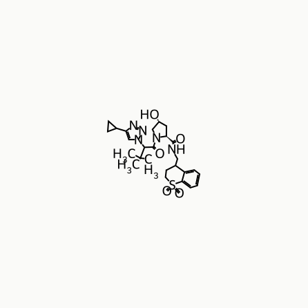 CC(C)(C)C(C(=O)N1C[C@H](O)C[C@H]1C(=O)NCC1CCS(=O)(=O)c2ccccc21)n1cc(C2CC2)nn1